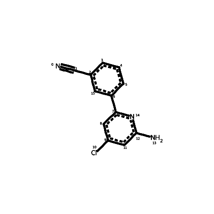 N#Cc1cccc(-c2cc(Cl)cc(N)n2)c1